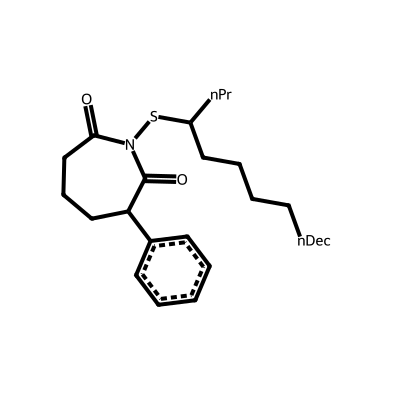 CCCCCCCCCCCCCCC(CCC)SN1C(=O)CCCC(c2ccccc2)C1=O